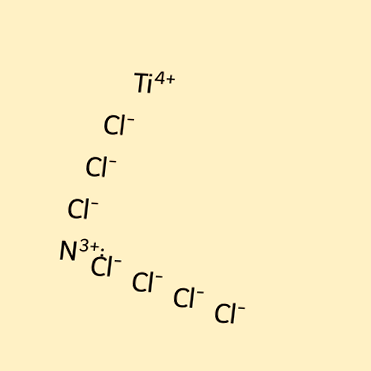 [Cl-].[Cl-].[Cl-].[Cl-].[Cl-].[Cl-].[Cl-].[N+3].[Ti+4]